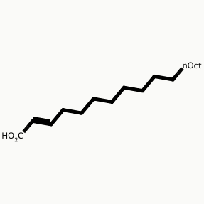 CCCCCCCCCCCCCCCC/C=C/C(=O)O